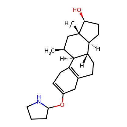 C[C@H]1C[C@]2(C)[C@@H](O)CC[C@H]2[C@@H]2CCC3=C(CC=C(OC4CCCN4)C3)[C@H]21